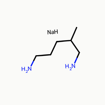 CC(CN)CCCN.[NaH]